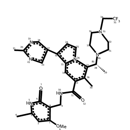 COc1cc(C)[nH]c(=O)c1CNC(=O)c1cc2c(-c3cnc(C)nc3)ccn2c([C@@H](C)N2CCN(CC(F)(F)F)CC2)c1C